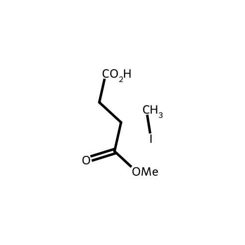 CI.COC(=O)CCC(=O)O